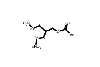 CC(=O)C(=O)OCC(CO[N+](=O)[O-])CO[N+](=O)[O-]